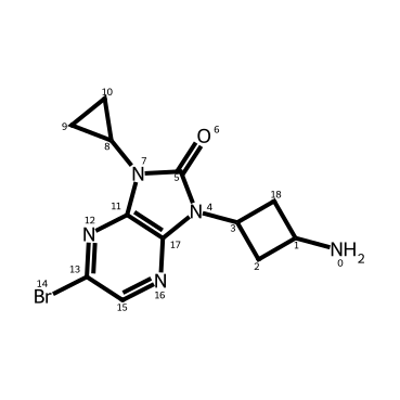 NC1CC(n2c(=O)n(C3CC3)c3nc(Br)cnc32)C1